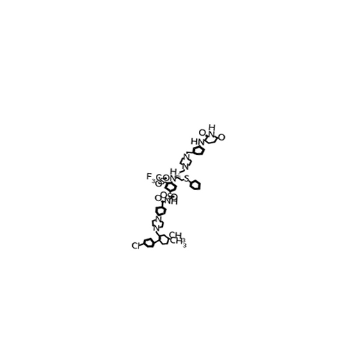 CC1(C)CCC(c2ccc(Cl)cc2)=C(CN2CCN(c3ccc(C(=O)NS(=O)(=O)c4ccc(N[C@H](CCN5CCN(Cc6cccc(NC7CCC(=O)NC7=O)c6)CC5)CSc5ccccc5)c(S(=O)(=O)C(F)(F)F)c4)cc3)CC2)C1